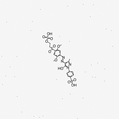 COc1cc(S(=O)(=O)CCOS(=O)(=O)O)c(OC)cc1/N=N/c1c(C)nn(-c2ccc(S(=O)(=O)O)cc2)c1O